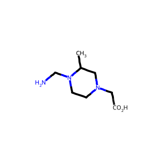 CC1CN(CC(=O)O)CCN1CN